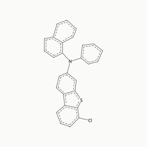 Clc1cccc2c1sc1cc(N(c3ccccc3)c3cccc4ccccc34)ccc12